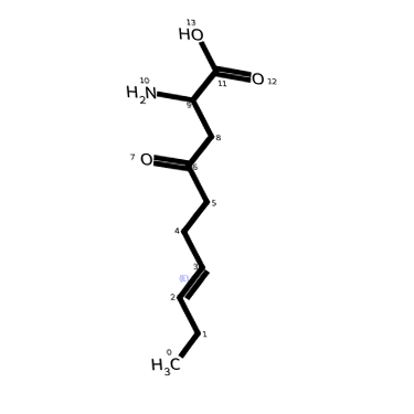 CC/C=C/CCC(=O)CC(N)C(=O)O